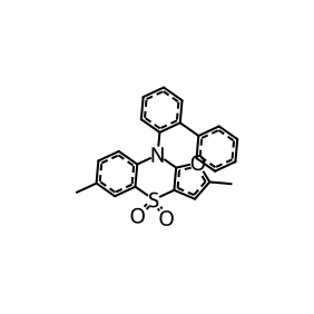 Cc1ccc2c(c1)S(=O)(=O)c1cc(C)oc1N2c1ccccc1-c1ccccc1